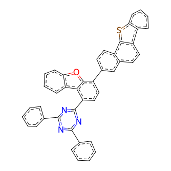 c1ccc(-c2nc(-c3ccccc3)nc(-c3ccc(-c4ccc5c(ccc6c7ccccc7sc56)c4)c4oc5ccccc5c34)n2)cc1